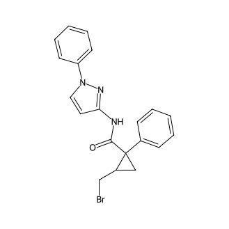 O=C(Nc1ccn(-c2ccccc2)n1)C1(c2ccccc2)CC1CBr